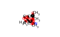 COC(=O)[C@]1(OCc2ccc(OC)cc2)O[C@@H]([C@H](OC(C)=O)[C@@H](COC(C)=O)OC(C)=O)[C@H](C)[C@@H](OC(C)=O)[C@@H]1OCC#N